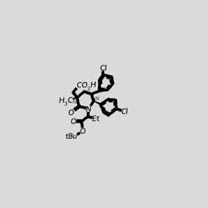 CCC(C(=O)OC(C)(C)C)N1C(=O)[C@](C)(CC(=O)O)CC(c2cccc(Cl)c2)[C@H]1c1ccc(Cl)cc1